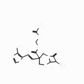 Cc1ncsc1C=CC1(C(=O)OCOC(=O)C(C)(C)C)CS[C@@H]2C(N)C(=O)N2C1